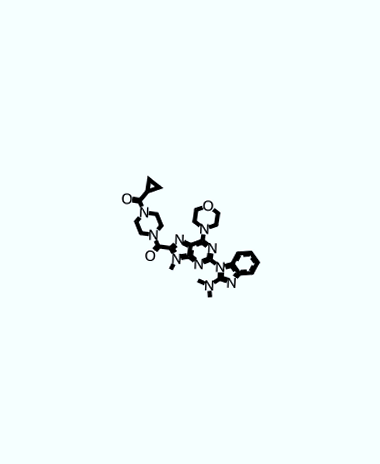 CN(C)c1nc2ccccc2n1-c1nc(N2CCOCC2)c2nc(C(=O)N3CCN(C(=O)C4CC4)CC3)n(C)c2n1